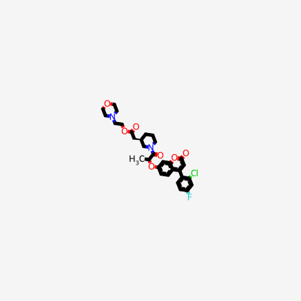 CC(Oc1ccc2c(-c3ccc(F)cc3Cl)cc(=O)oc2c1)C(=O)N1CCC[C@H](CC(=O)OCCN2CCOCC2)C1